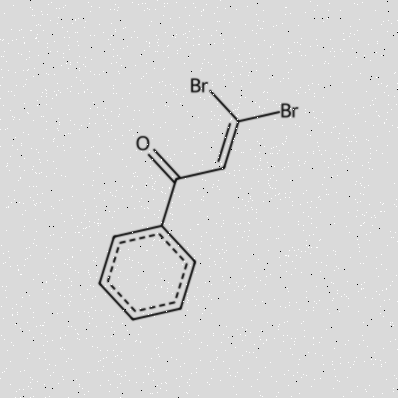 O=C(C=C(Br)Br)c1ccccc1